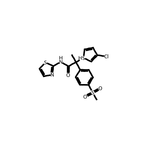 CC(C(=O)Nc1nccs1)(c1ccc(S(C)(=O)=O)cc1)[SH]1C=CC(Cl)=C1